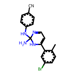 Cc1ccc(Br)cc1C1=CC=NC(N)(Nc2ccc(C#N)cc2)N1